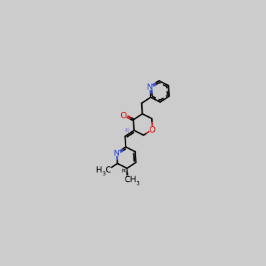 CC1N=C(/C=C2\COCC(Cc3ccccn3)C2=O)C=C[C@H]1C